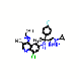 BC(Nc1cc(Cl)c2ncc(C#N)c(NCC(C)(C)C)c2c1)(C1=CN(C2CC2)NN1)c1ccc(F)cc1